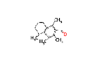 Cc1c(C)c2c(c(C)c1C=O)CCCC2C